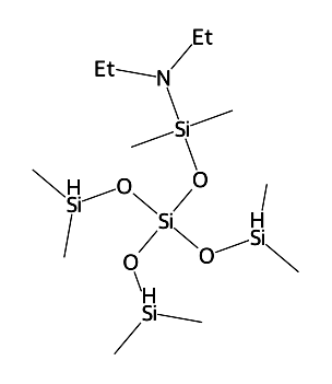 CCN(CC)[Si](C)(C)O[Si](O[SiH](C)C)(O[SiH](C)C)O[SiH](C)C